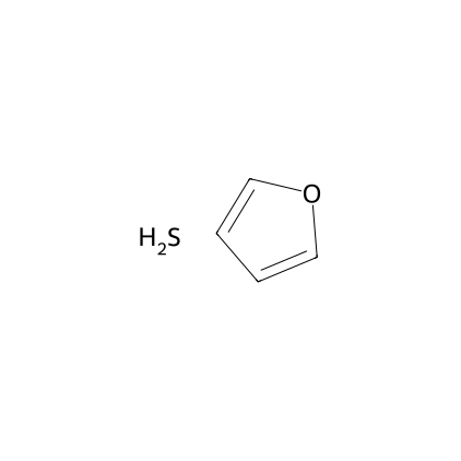 S.c1ccoc1